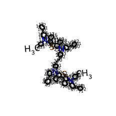 Cc1ccc(N(c2ccc(-c3ccccc3)cc2)c2cc3sc4cc(N(c5ccc(CCc6ccc(N(c7cccc(-c8ccccc8)c7)c7cc8sc9cc(N(c%10ccc(C)cc%10)c%10cccc(-c%11ccccc%11)c%10)c%10ccccc%10c9c8c8ccccc78)cc6)cc5)c5ccc(-c6ccccc6)cc5)c5ccccc5c4c3c3ccccc23)cc1